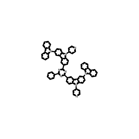 c1ccc(-c2nc(-c3ccc4c(c3)c3cc(-n5c6ccccc6c6ccccc65)ccc3n4-c3ccncc3)nc(-c3ccc4c(c3)c3cc(-n5c6ccccc6c6ccccc65)ccc3n4-c3ccncc3)n2)cc1